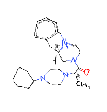 C[C@H](C(=O)N1CCN2c3ccccc3C[C@@H]2C1)N1CCN(C2CCCCC2)CC1